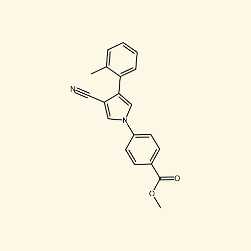 COC(=O)c1ccc(-n2cc(C#N)c(-c3ccccc3C)c2)cc1